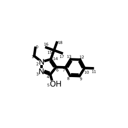 CCn1nc(O)c(-c2ccc(C)cc2)c1C(C)(C)C